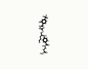 CCCCC(COc1nnc(-c2ccc(C(F)(F)F)cc2F)o1)Nc1ccc(C(=O)NCCC(=O)O)cc1